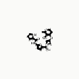 Cc1nccc(OC2CN(C(O)c3ccc(NC(=O)C4CCCN4)s3)C2)c1Cl